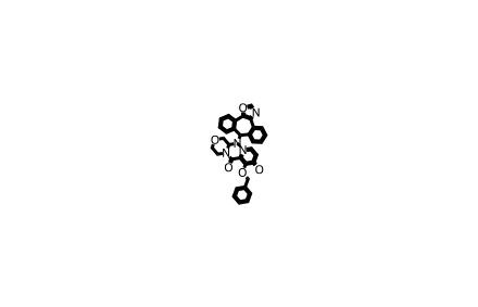 O=C1c2c(OCc3ccccc3)c(=O)ccn2N(C2c3ccccc3-c3ncoc3-c3ccccc32)C2COCCN12